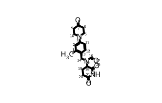 Cc1cc(N2CCC(=O)CC2)ccc1CN(C=O)C1CCC(=O)NC1=O